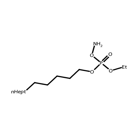 CCCCCCCCCCCCOP(=O)(ON)OCC